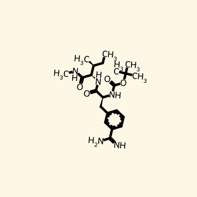 CC[C@H](C)[C@H](NC(=O)[C@H](Cc1cccc(C(=N)N)c1)NC(=O)OC(C)(C)C)C(=O)NC